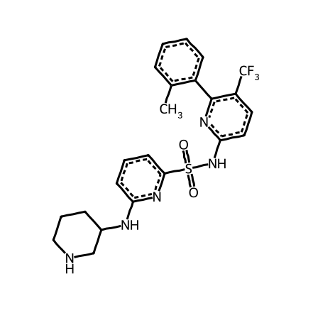 Cc1ccccc1-c1nc(NS(=O)(=O)c2cccc(NC3CCCNC3)n2)ccc1C(F)(F)F